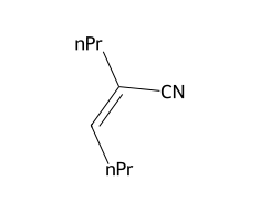 CCC/C=C(\C#N)CCC